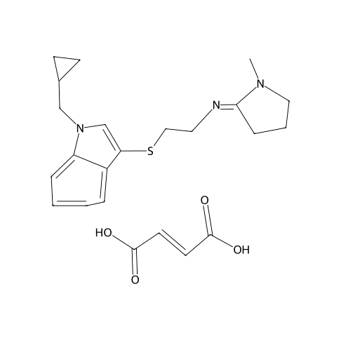 CN1CCC/C1=N\CCSc1cn(CC2CC2)c2ccccc12.O=C(O)/C=C/C(=O)O